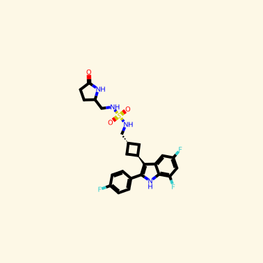 O=C1CCC(CNS(=O)(=O)NC[C@H]2C[C@H](c3c(-c4ccc(F)cc4)[nH]c4c(F)cc(F)cc43)C2)N1